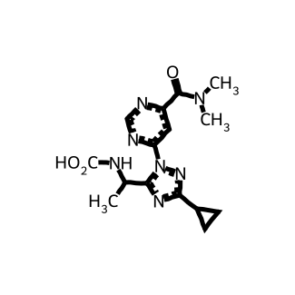 CC(NC(=O)O)c1nc(C2CC2)nn1-c1cc(C(=O)N(C)C)ncn1